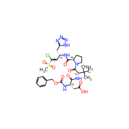 CC(C)(C)[C@H](NC(=O)[C@H](CC(=O)O)NC(=O)OCc1ccccc1)C(=O)N1CCC[C@@H]1C(=O)N[C@H](/C=C(\Cl)S(C)(=O)=O)Cc1nnn[nH]1